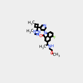 COCCNC(C)c1cc2c3c(ccc(F)c3c1)N(c1cncc(C3(c4nncn4C)CC(C)C3)c1)C2=O